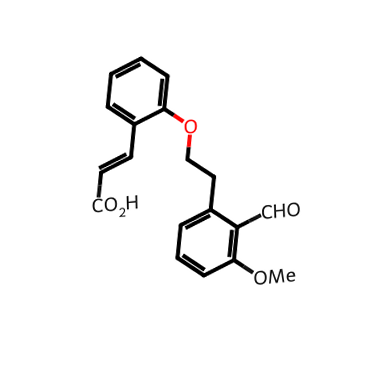 COc1cccc(CCOc2ccccc2/C=C/C(=O)O)c1C=O